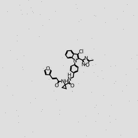 Cc1nc(-c2c(Cl)c3ccccc3n2-c2ccc(CNC(=O)C3(NC(=O)/C=C/c4ccoc4)CC3)cc2)no1